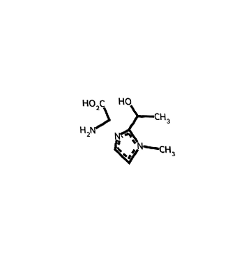 CC(O)c1nccn1C.NCC(=O)O